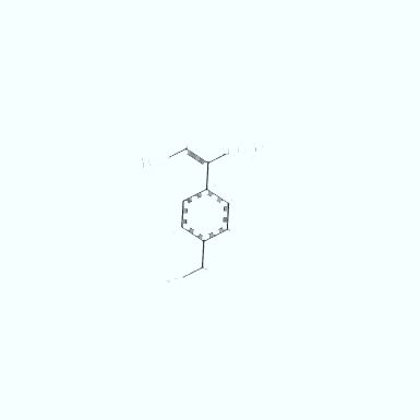 C/C=C(/C(=O)O)c1ccc(CC(C)C)cc1